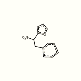 O=[N+]([O-])C([CH]c1ccccc1)c1ccco1